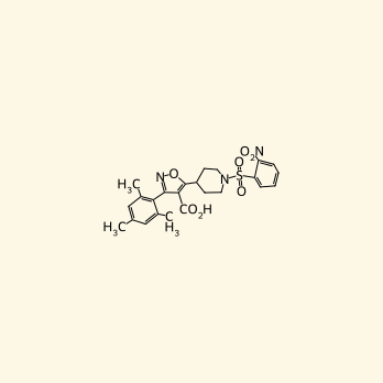 Cc1cc(C)c(-c2noc(C3CCN(S(=O)(=O)c4ccccc4[N+](=O)[O-])CC3)c2C(=O)O)c(C)c1